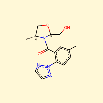 Cc1ccc(-n2nccn2)c(C(=O)N2[C@H](C)CO[C@H]2CO)c1